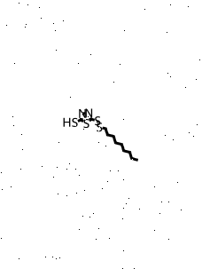 CCCCCCCCCSSc1nnc(S)s1